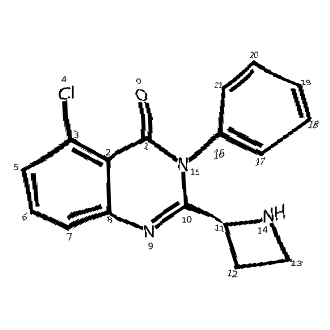 O=c1c2c(Cl)cccc2nc([C@@H]2CCN2)n1-c1ccccc1